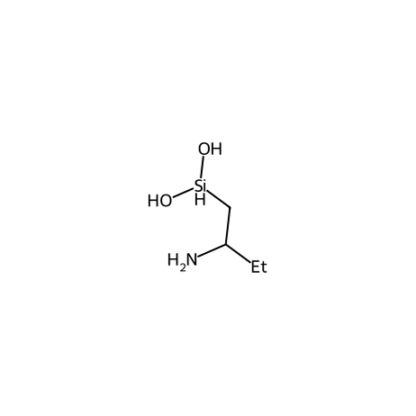 CCC(N)C[SiH](O)O